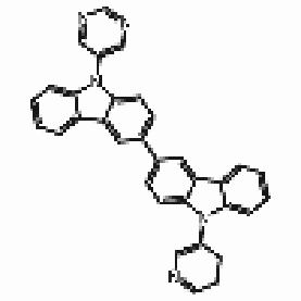 C1=NC=C(n2c3ccccc3c3cc(-c4ccc5c(c4)c4ccccc4n5-c4cncnc4)ccc32)CC1